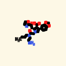 CCCCN(CCN)C(=O)CN1C[C@H](c2ccc3c(c2)OCO3)[C@@H](C(=O)O)[C@@H]1CCc1ncco1